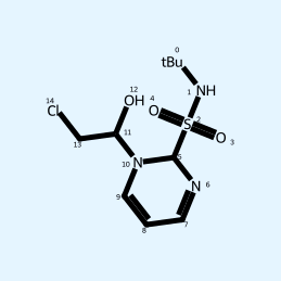 CC(C)(C)NS(=O)(=O)C1N=CC=CN1C(O)CCl